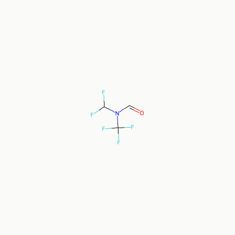 O=CN(C(F)F)C(F)(F)F